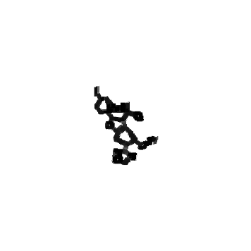 CNC(=O)c1c(-c2ccc(F)cc2)oc2cc(-c3ncon3)c(OC(C)C)cc12